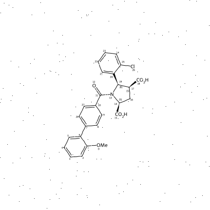 COc1ccccc1-c1ccc(C(=O)N2[C@H](C(=O)O)C[C@H](C(=O)O)[C@@H]2c2ccccc2Cl)cc1